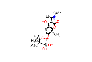 CC/C(=N\OC)c1c(O)c2ccc(O[C@@H]3OC(C)(C)[C@H](OC)[C@@H](O)[C@H]3O)c(C)c2oc1=O